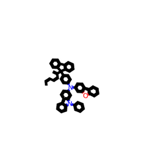 C=C(/C=C\C=C/C)C1(c2ccc(N(c3ccc4c(c3)oc3ccccc34)c3ccc4c5ccccc5n(-c5ccccc5)c4c3)cc2)c2ccccc2-c2ccccc21